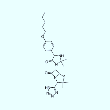 CCCCCOc1ccc(C2NC(C)(C)N(C3C(=O)N4C3SC(C)(C)C4c3nnn[nH]3)C2=O)cc1